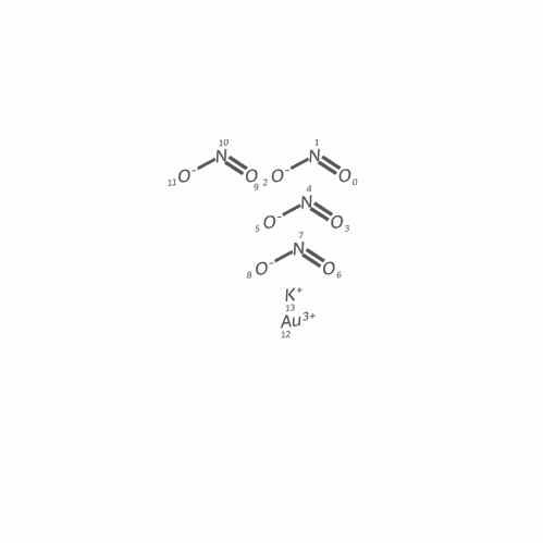 O=N[O-].O=N[O-].O=N[O-].O=N[O-].[Au+3].[K+]